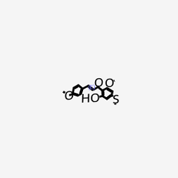 COc1ccc(/C=C/C(=O)c2c(O)cc(SC)cc2OC)cc1